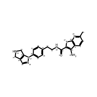 Cc1ccc2c(N)c(C(=O)NCCc3ccc(-n4ncc5c4CNC5)cc3)sc2n1